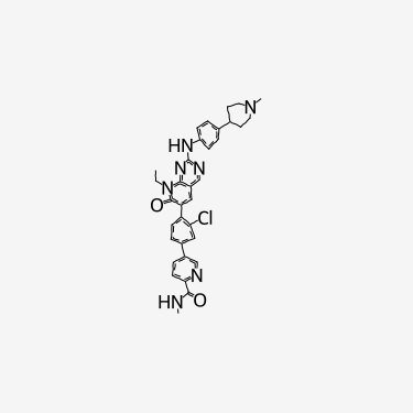 CCn1c(=O)c(-c2ccc(-c3ccc(C(=O)NC)nc3)cc2Cl)cc2cnc(Nc3ccc(C4CCN(C)CC4)cc3)nc21